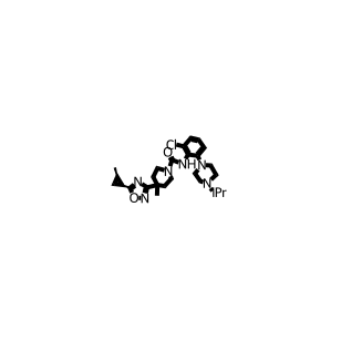 CC(C)N1CCN(c2cccc(Cl)c2NC(=O)N2CCC(C)(c3noc([C@H]4C[C@H]4C)n3)CC2)CC1